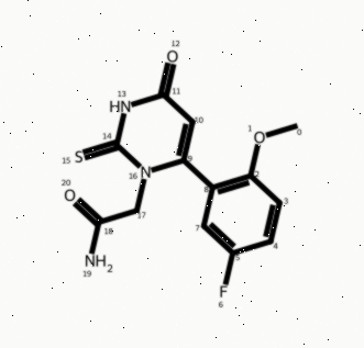 COc1ccc(F)cc1-c1cc(=O)[nH]c(=S)n1CC(N)=O